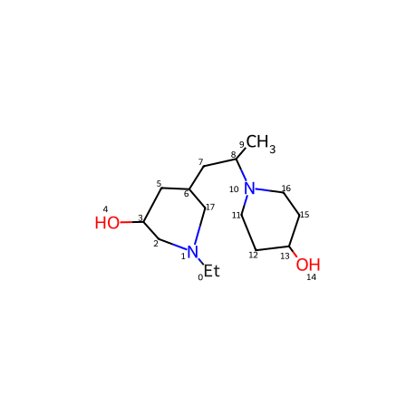 CCN1CC(O)CC(CC(C)N2CCC(O)CC2)C1